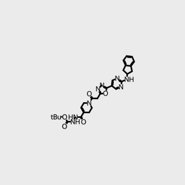 CC(C)(C)OC(=O)NNC(=O)C1=CCN(C(=O)Cc2nnc(-c3cnc(NC4Cc5ccccc5C4)nc3)o2)CC1